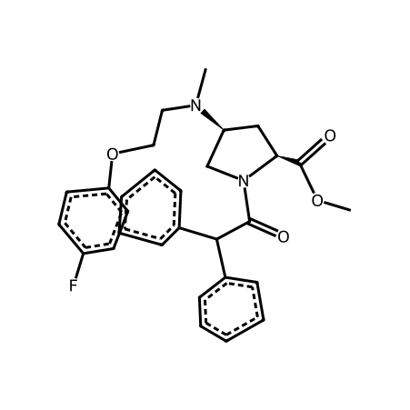 COC(=O)[C@@H]1C[C@H](N(C)CCOc2ccc(F)cc2)CN1C(=O)C(c1ccccc1)c1ccccc1